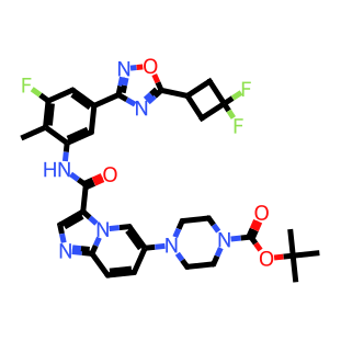 Cc1c(F)cc(-c2noc(C3CC(F)(F)C3)n2)cc1NC(=O)c1cnc2ccc(N3CCN(C(=O)OC(C)(C)C)CC3)cn12